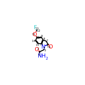 NC(=O)CN1C(=O)Cc2cc(OCF)ccc21